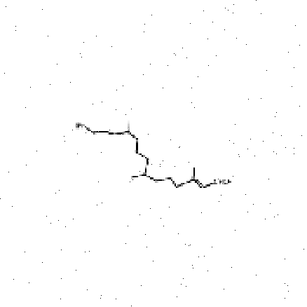 C/C(=C\[C]=O)CCCC(C)CCCC(C)CCCC(C)C